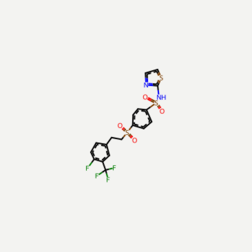 O=S(=O)(CCc1ccc(F)c(C(F)(F)F)c1)c1ccc(S(=O)(=O)Nc2nccs2)cc1